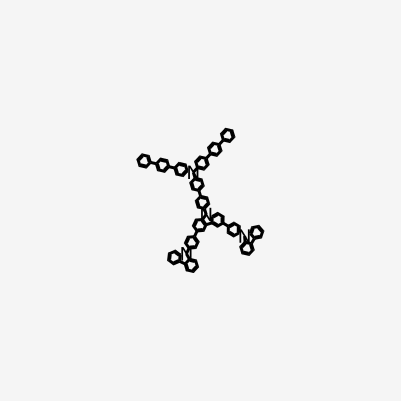 c1ccc(-c2ccc(-c3ccc(N(c4ccc(-c5ccc(-c6ccccc6)cc5)cc4)c4ccc(-c5ccc(-n6c7ccc(-c8ccc(-n9c%10ccccc%10c%10ccccc%109)cc8)cc7c7cc(-c8ccc(-n9c%10ccccc%10c%10ccccc%109)cc8)ccc76)cc5)cc4)cc3)cc2)cc1